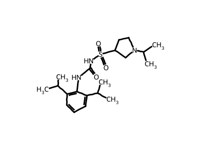 CC(C)c1cccc(C(C)C)c1NC(=O)NS(=O)(=O)C1CCN(C(C)C)C1